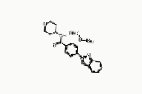 CC(C)(C)OC=O.O=C(NC1CCNCC1)c1ccc(-n2cc3ccccc3n2)cc1